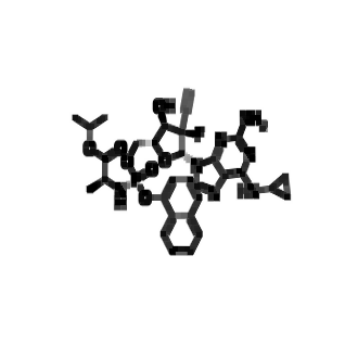 C#C[C@@]1(F)[C@H](O)[C@@H](CO[P@](=O)(N[C@@H](C)C(=O)OC(C)C)Oc2cccc3ccccc23)O[C@H]1n1cnc2c(NC3CC3)nc(N)nc21